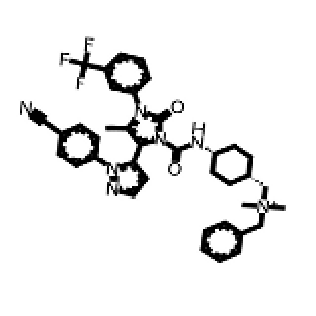 Cc1c(-c2ccnn2-c2ccc(C#N)cc2)n(C(=O)N[C@H]2CC[C@@H](C[N+](C)(C)Cc3ccccc3)CC2)c(=O)n1-c1cccc(C(F)(F)F)c1